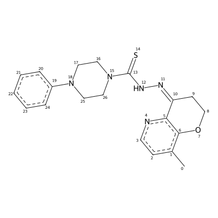 Cc1ccnc2c1OCC/C2=N/NC(=S)N1CCN(c2ccccc2)CC1